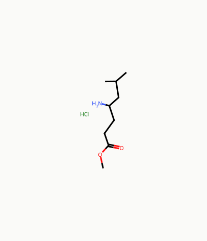 COC(=O)CCC(N)CC(C)C.Cl